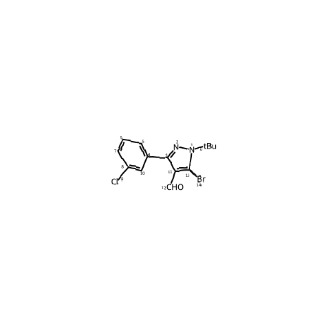 CC(C)(C)n1nc(-c2cccc(Cl)c2)c(C=O)c1Br